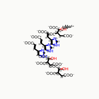 O=C([O-])C=Cc1c[nH]cn1.O=C([O-])C=Cc1c[nH]cn1.O=C([O-])C=Cc1c[nH]cn1.O=C([O-])CC(C(=O)[O-])C(O)C(=O)[O-].O=C([O-])CC(C(=O)[O-])C(O)C(=O)[O-].O=C([O-])CC(C(=O)[O-])C(O)C(=O)[O-].[Mo+6].[Mo+6]